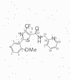 COc1ccccc1-c1nc(C(F)(F)F)c(C(=O)NCc2ccccn2)s1